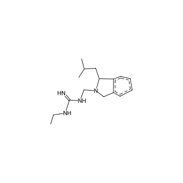 CCNC(=N)NCN1Cc2ccccc2C1CC(C)C